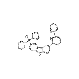 O=P(c1ccccc1)(c1ccccc1)c1ccc2sc3ccc(-c4cccc(-c5ccccn5)n4)cc3c2c1